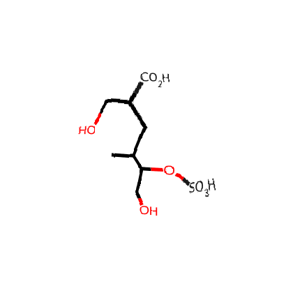 CC(CC(CO)C(=O)O)C(CO)OS(=O)(=O)O